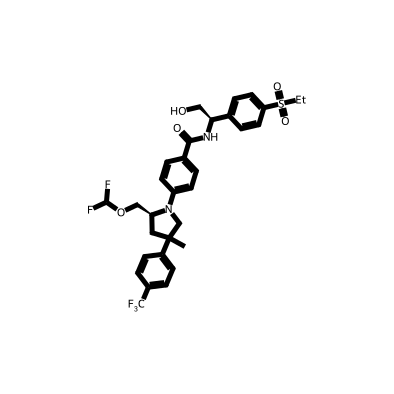 CCS(=O)(=O)c1ccc([C@H](CO)NC(=O)c2ccc(N3CC(C)(c4ccc(C(F)(F)F)cc4)C[C@H]3COC(F)F)cc2)cc1